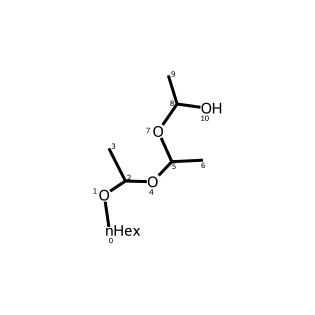 CCCCCCOC(C)OC(C)OC(C)O